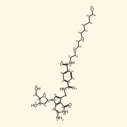 Nc1nc2c(c(CNC(=O)c3ccc(C(=O)NCCOCCOCCCCCCCl)cc3)cn2[C@H]2CC(O)C(CO)O2)c(=O)[nH]1